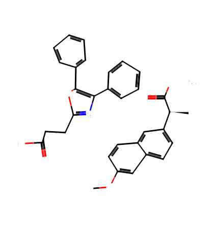 COc1ccc2cc([C@H](C)C(=O)[O-])ccc2c1.O=C(O)CCc1nc(-c2ccccc2)c(-c2ccccc2)o1.[Na+]